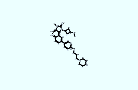 CO[C@H]1C[C@@H](n2c(=O)n(C)c3nnc4ccc(-c5ccc(OCCCN6CCCCC6)nc5)cc4c32)C1